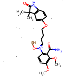 COc1ccc([N+](=CCCCOc2ccc3c(c2)C(C)(C)C(=O)N3)OS)c(C(N)=O)c1OC